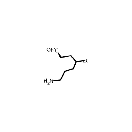 CCC(CCC=O)CCCN